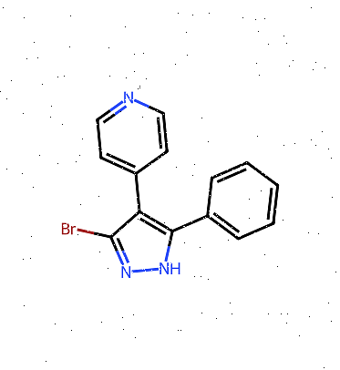 Brc1n[nH]c(-c2ccccc2)c1-c1ccncc1